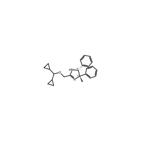 C[C@@]1(c2ccccc2)N=C(COC(C2CC2)C2CC2)N[C@@H]1c1ccccc1